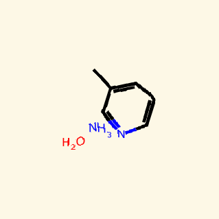 Cc1cccnc1.N.O